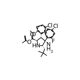 C=C(C)OC(=O)[C@@H]1N[C@@H](CC(C)(C)C)[C@](N)(c2ccc(Cl)cc2F)[C@H]1c1cc(Cl)ccc1OC